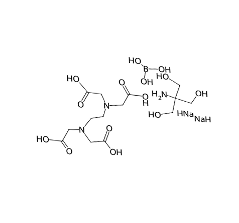 NC(CO)(CO)CO.O=C(O)CN(CCN(CC(=O)O)CC(=O)O)CC(=O)O.OB(O)O.[NaH].[NaH]